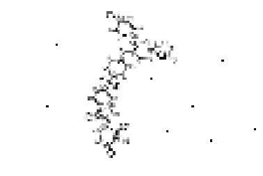 CC1(C)CCC(CN2CCN(C(F)(F)c3ccc4c(c3)CN(C3CCC(=O)NC3=O)C4=O)CC2)=C(c2ccc(Cl)cc2)C1